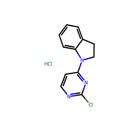 Cl.Clc1nccc(N2CCc3ccccc32)n1